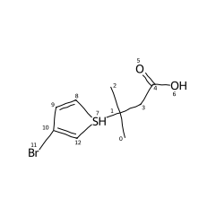 CC(C)(CC(=O)O)[SH]1C=CC(Br)=C1